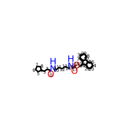 O=C(CCC1CCCC1)NCCCCCNC(=O)OCC1c2ccccc2-c2ccccc21